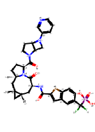 O=C(N[C@H]1C[C@@H]2C[C@@H]2C[C@H]2CC[C@@H](C(=O)N3CCC4C3CN4c3cccnc3)N2C1=O)c1cc2cc(C(F)(F)P(=O)(O)O)ccc2s1